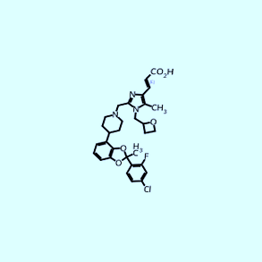 Cc1c(/C=C/C(=O)O)nc(CN2CCC(c3cccc4c3OC(C)(c3ccc(Cl)cc3F)O4)CC2)n1CC1CCO1